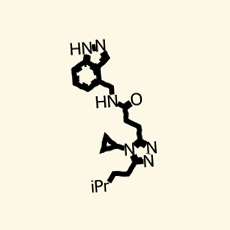 CC(C)CCc1nnc(CCC(=O)NCc2cccc3[nH]ncc23)n1C1CC1